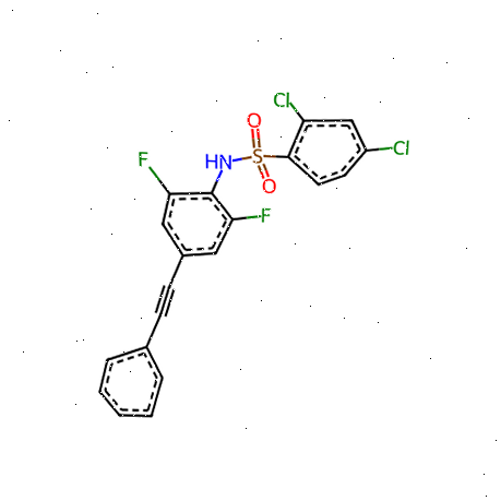 O=S(=O)(Nc1c(F)cc(C#Cc2ccccc2)cc1F)c1ccc(Cl)cc1Cl